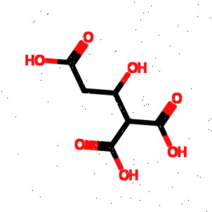 O=C(O)CC(O)C(C(=O)O)C(=O)O